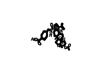 C=C(C)[C@@H]1CC[C@]2(C(=O)NCC3CCC(C(=O)O)CC3)CC[C@]3(C)[C@H](CC[C@@H]4[C@@]5(C)CC[C@H](OC(C)=O)C(C)(C)[C@@H]5CC[C@]43C)[C@@H]12